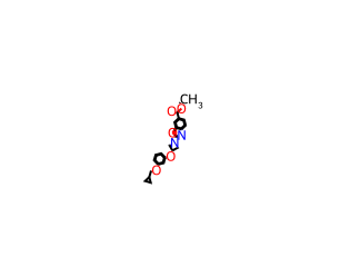 CCOC(=O)c1ccc2nc(N3CC(Oc4cccc(OCC5CC5)c4)C3)oc2c1